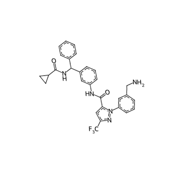 NCc1cccc(-n2nc(C(F)(F)F)cc2C(=O)Nc2cccc(C(NC(=O)C3CC3)c3ccccc3)c2)c1